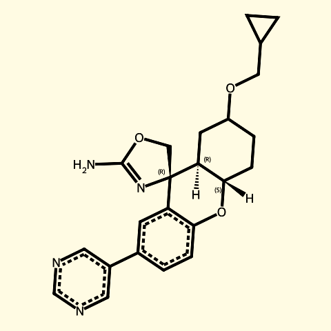 NC1=N[C@@]2(CO1)c1cc(-c3cncnc3)ccc1O[C@H]1CCC(OCC3CC3)C[C@@H]12